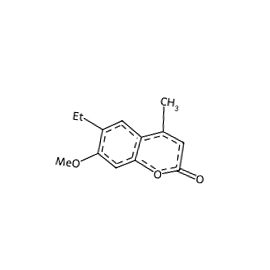 CCc1cc2c(C)cc(=O)oc2cc1OC